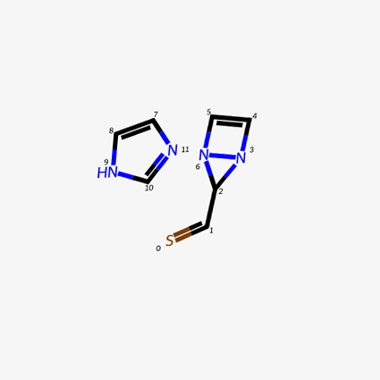 S=CC1n2ccn21.c1c[nH]cn1